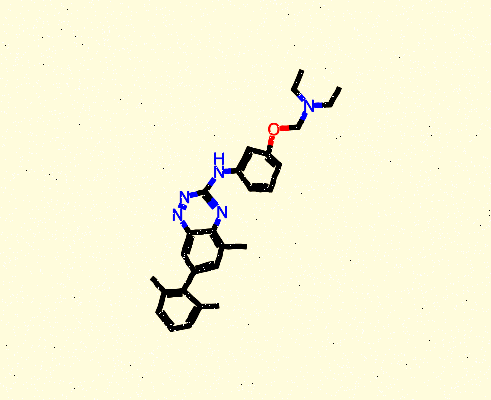 CCN(CC)COc1cccc(Nc2nnc3cc(-c4c(C)cccc4C)cc(C)c3n2)c1